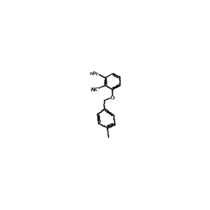 CCCc1cccc(OCc2ccc(C)cc2)c1C#N